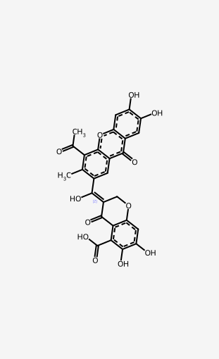 CC(=O)c1c(C)c(/C(O)=C2\COc3cc(O)c(O)c(C(=O)O)c3C2=O)cc2c(=O)c3cc(O)c(O)cc3oc12